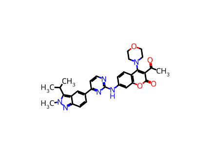 CC(=O)c1c(N2CCOCC2)c2ccc(Nc3nccc(-c4ccc5nn(C)c(C(C)C)c5c4)n3)cc2oc1=O